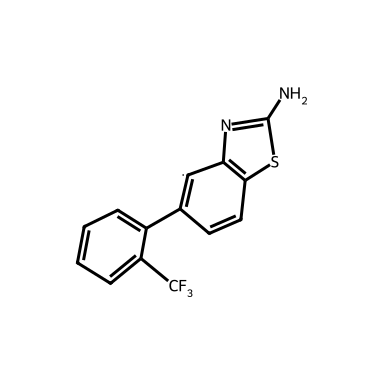 Nc1nc2[c]c(-c3ccccc3C(F)(F)F)ccc2s1